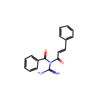 N=C(N)N(C(=O)/C=C/c1ccccc1)C(=O)c1ccccc1